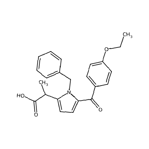 CCOc1ccc(C(=O)c2ccc(C(C)C(=O)O)n2Cc2ccccc2)cc1